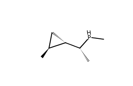 CP[C@H](C)[C@H]1C[C@@H]1C